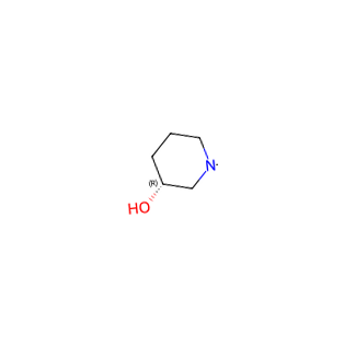 O[C@@H]1CCC[N]C1